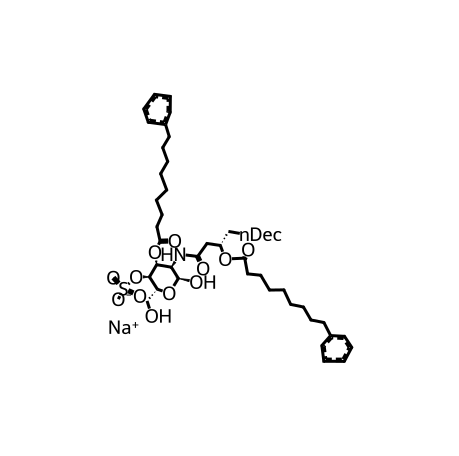 CCCCCCCCCCC[C@@H](CC(=O)N[C@@H]1[C@@H](OC(=O)CCCCCCCCc2ccccc2)[C@H](OS(=O)(=O)[O-])[C@@H](CO)O[C@@H]1O)OC(=O)CCCCCCCCc1ccccc1.[Na+]